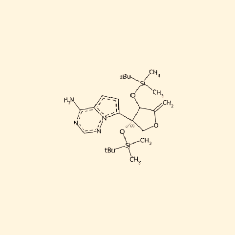 C=C1OC[C@@](O[Si](C)(C)C(C)(C)C)(c2ccc3c(N)ncnn23)C1O[Si](C)(C)C(C)(C)C